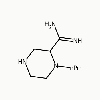 CC[CH]N1CCNCC1C(=N)N